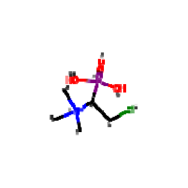 C[N+](C)(C)C(CCl)P(=O)(O)O